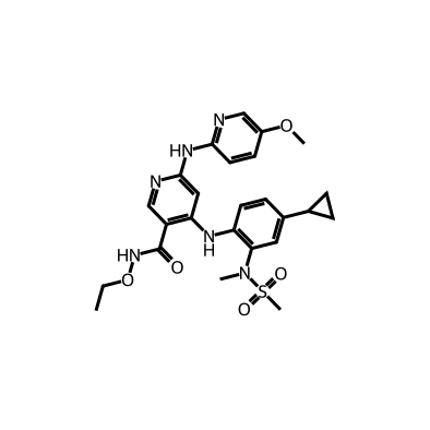 CCONC(=O)c1cnc(Nc2ccc(OC)cn2)cc1Nc1ccc(C2CC2)cc1N(C)S(C)(=O)=O